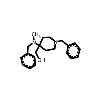 CN(Cc1ccccc1)C1(CO)CCN(Cc2ccccc2)CC1